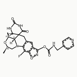 C[C@@H]1CN2c3c(cc4c(OC(=O)NCc5ccncc5)noc4c3F)CC3(C(=O)NC(=O)NC3=O)[C@H]2[C@H](C)O1